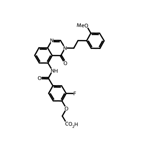 COc1ccccc1CCn1cnc2cccc(NC(=O)c3ccc(OCC(=O)O)c(F)c3)c2c1=O